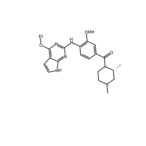 CCOc1nc(Nc2ccc(C(=O)N3CCN(C)C[C@H]3C)cc2OC)nc2[nH]ccc12